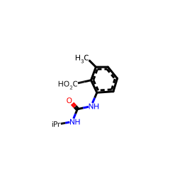 Cc1cccc(NC(=O)NC(C)C)c1C(=O)O